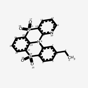 CCc1ccc2c(c1)N1c3ncccc3S(=O)(=O)c3cccc(c31)S2(=O)=O